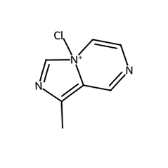 CC1=C2C=NC=C[N+]2(Cl)C=N1